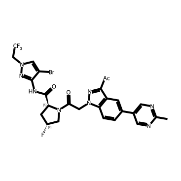 CC(=O)c1nn(CC(=O)N2C[C@H](F)C[C@H]2C(=O)Nc2nn(CC(F)(F)F)cc2Br)c2ccc(-c3cnc(C)nc3)cc12